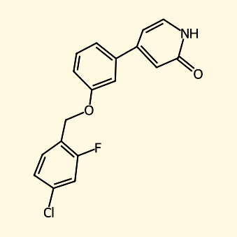 O=c1cc(-c2cccc(OCc3ccc(Cl)cc3F)c2)cc[nH]1